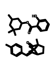 CC1CC(OC(=O)c2ccccc2O)CC(C)(C)C1.Cc1ccc(/C=C2\C(=O)C3(C)CCC2C3(C)C)cc1